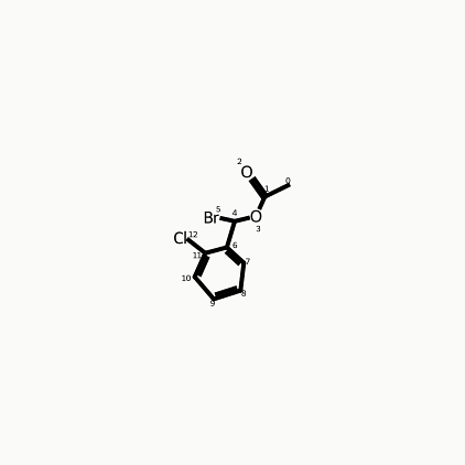 CC(=O)OC(Br)c1ccccc1Cl